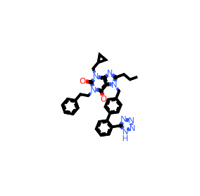 CCCc1nc2c(c(=O)n(CCc3ccccc3)c(=O)n2CC2CC2)n1Cc1ccc(-c2ccccc2-c2nnn[nH]2)cc1